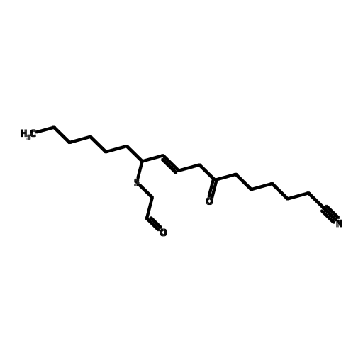 CCCCCCC(C=CCC(=O)CCCCCC#N)SCC=O